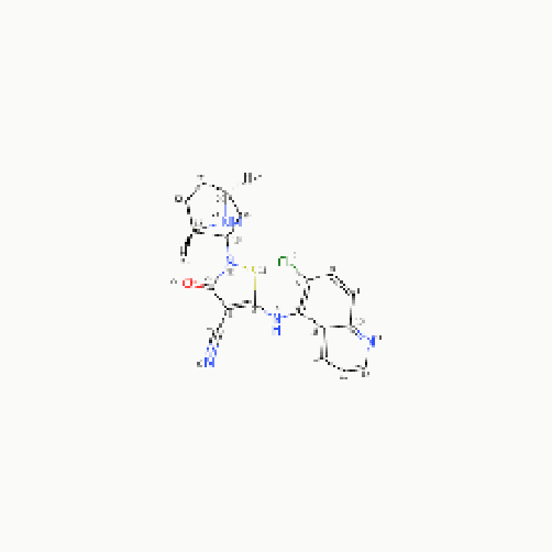 N#Cc1c(Nc2c(Cl)ccc3ncccc23)sn(C2C[C@@H]3CC[C@@H]2N3)c1=O